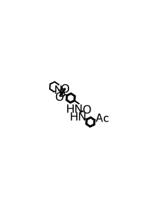 CC(=O)c1cccc(NC(=O)NCc2ccc(S(=O)(=O)N3CCCCC3)cc2)c1